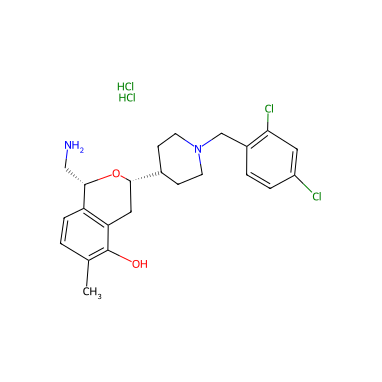 Cc1ccc2c(c1O)C[C@@H](C1CCN(Cc3ccc(Cl)cc3Cl)CC1)O[C@H]2CN.Cl.Cl